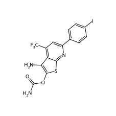 NC(=O)Oc1sc2nc(-c3ccc(I)cc3)cc(C(F)(F)F)c2c1N